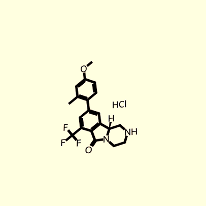 COc1ccc(-c2cc3c(c(C(F)(F)F)c2)C(=O)N2CCNC[C@@H]32)c(C)c1.Cl